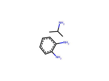 CC(C)N.Nc1ccccc1N